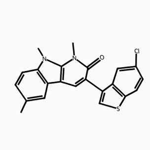 Cc1ccc2c(c1)c1cc(-c3csc4ccc(Cl)cc34)c(=O)n(C)c1n2C